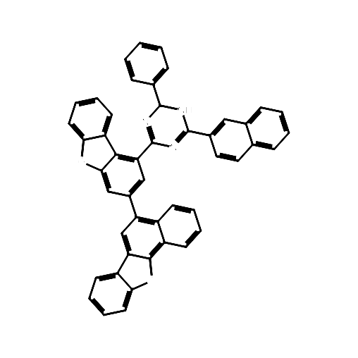 c1ccc(C2N=C(c3cc(-c4cc5c6ccccc6oc5c5ccccc45)cc4oc5ccccc5c34)N=C(c3ccc4ccccc4c3)N2)cc1